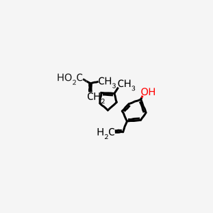 C=C(C)C(=O)O.C=Cc1ccc(O)cc1.CC1=CCCC1